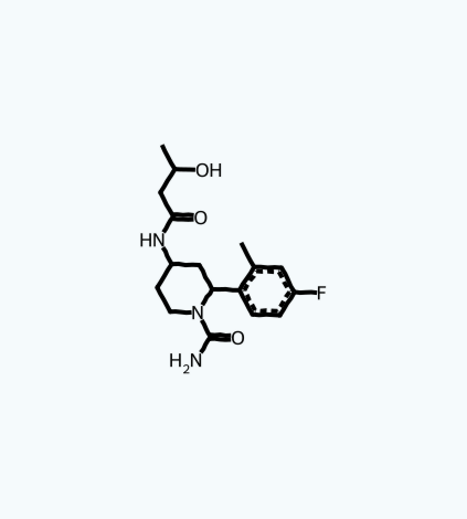 Cc1cc(F)ccc1C1CC(NC(=O)CC(C)O)CCN1C(N)=O